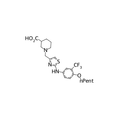 CCCCCOc1ccc(Nc2nc(CN3CCCC(C(=O)O)C3)cs2)cc1C(F)(F)F